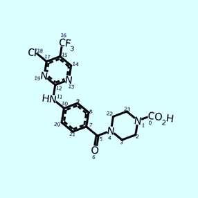 O=C(O)N1CCN(C(=O)c2ccc(Nc3ncc(C(F)(F)F)c(Cl)n3)cc2)CC1